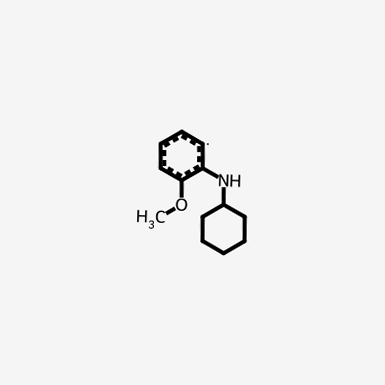 COc1ccc[c]c1NC1CCCCC1